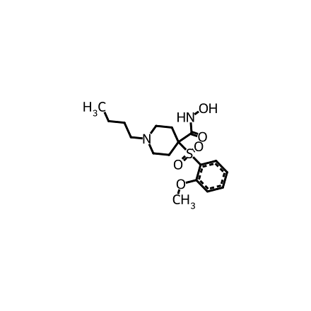 CCCCN1CCC(C(=O)NO)(S(=O)(=O)c2ccccc2OC)CC1